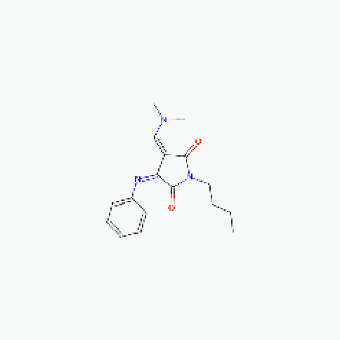 CCCCN1C(=O)C(=CN(C)C)C(=Nc2ccccc2)C1=O